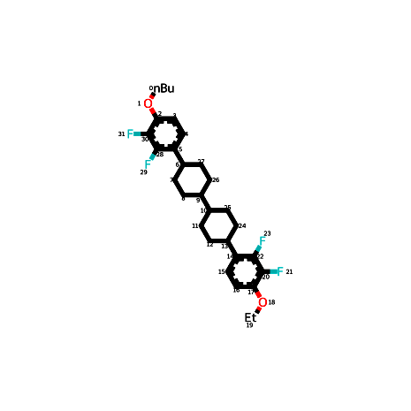 CCCCOc1ccc(C2CCC(C3CCC(c4ccc(OCC)c(F)c4F)CC3)CC2)c(F)c1F